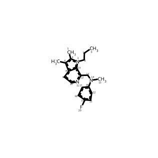 CCCn1c(C)c(C)c2ccnc(CN(C)c3ccc(F)cc3)c21